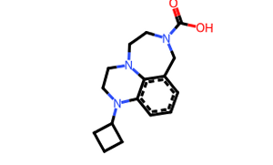 O=C(O)N1CCN2CCN(C3CCC3)c3cccc(c32)C1